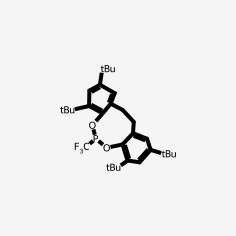 CC(C)(C)c1cc2c(c(C(C)(C)C)c1)OP(C(F)(F)F)Oc1c(cc(C(C)(C)C)cc1C(C)(C)C)CC2